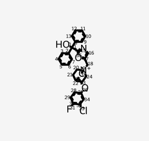 OC(c1ccccc1)(c1ccccc1)c1ncc(C[N+]23CCC(CC2)C(Oc2ccc(F)c(Cl)c2)C3)o1